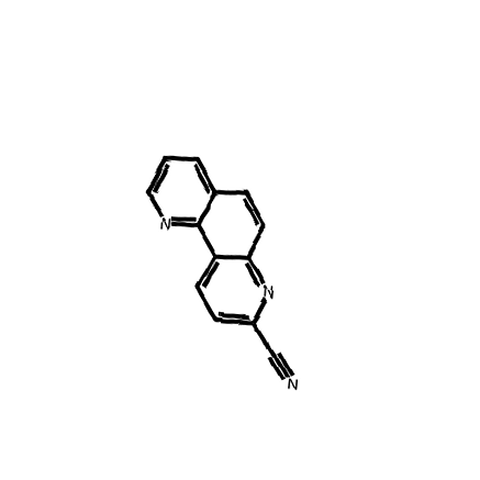 N#Cc1ccc2c(ccc3cccnc32)n1